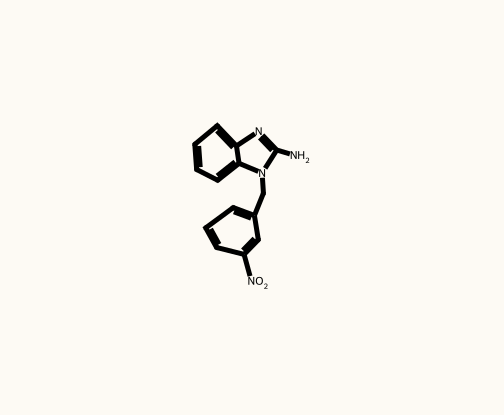 Nc1nc2ccccc2n1Cc1cccc([N+](=O)[O-])c1